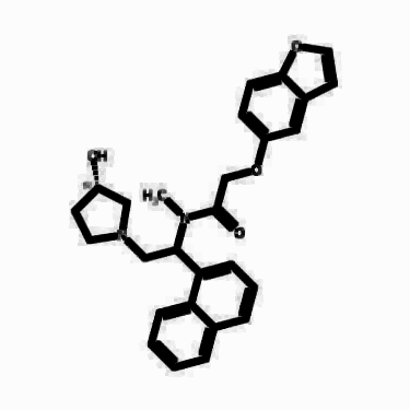 CN(C(=O)COc1ccc2occc2c1)C(CN1CC[C@H](O)C1)c1cccc2ccccc12